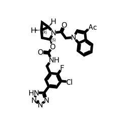 CC(=O)c1cn(CC(=O)N2[C@@H](OC(=O)NCc3cc(-c4nnn[nH]4)cc(Cl)c3F)C[C@H]3C[C@H]32)c2ccccc12